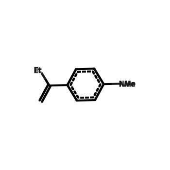 C=C(CC)c1ccc(NC)cc1